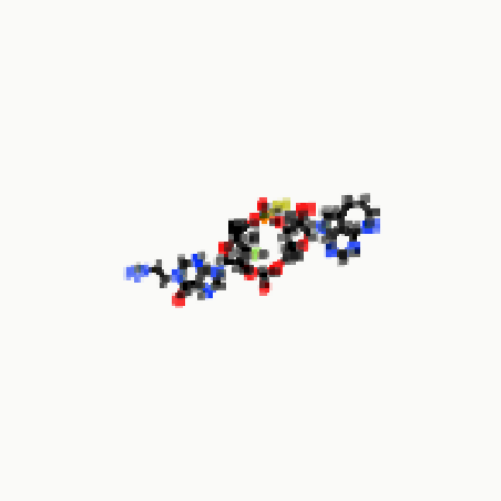 NCCn1cnc2c(ncn2[C@@H]2O[C@@H]3COP(=O)(S)O[C@H]4[C@@H](O)[C@H](n5cc6c7c(ncnc75)NCCC6)O[C@@H]4COC(=O)O[C@@H]2[C@@H]3F)c1=O